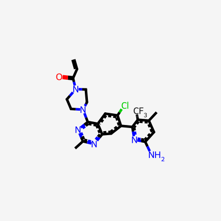 C=CC(=O)N1CCN(c2nc(C)nc3cc(-c4nc(N)cc(C)c4C(F)(F)F)c(Cl)cc23)CC1